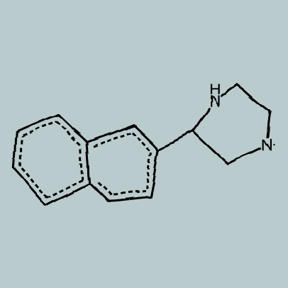 c1ccc2cc(C3C[N]CCN3)ccc2c1